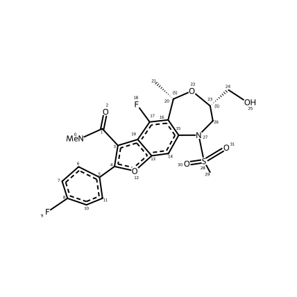 CNC(=O)c1c(-c2ccc(F)cc2)oc2cc3c(c(F)c12)[C@H](C)O[C@H](CO)CN3S(C)(=O)=O